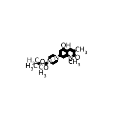 Cc1cc2c(O)cc(N3CCN(C(=O)OC(C)(C)C)CC3)cc2n(C)c1=O